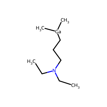 CCN(CC)CC[CH2][Ga]([CH3])[CH3]